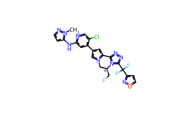 Cn1nccc1Nc1cc(-c2cc3n(c2)C[C@H](CF)n2c-3nnc2C(F)(F)c2ccon2)c(Cl)cn1